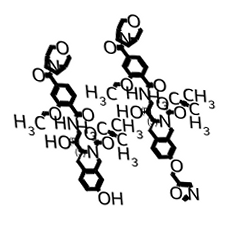 CCOc1cc(C(=O)N2C3CCC2COC3)ccc1C(=O)NC[C@@H](O)[C@@H]1Cc2ccc(O)cc2CN1C(=O)OC(C)(C)C.CCOc1cc(C(=O)N2C3CCC2COC3)ccc1C(=O)NC[C@@H](O)[C@@H]1Cc2ccc(OCc3cnco3)cc2CN1C(=O)OC(C)(C)C